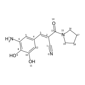 N#C/C(=C\c1cc(N)c(O)c(O)c1)C(=O)N1CCCC1